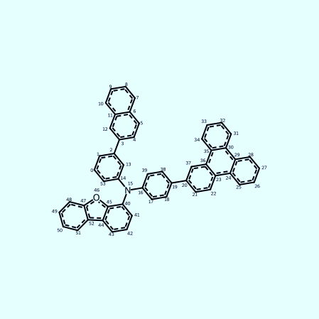 c1cc(-c2ccc3ccccc3c2)cc(N(c2ccc(-c3ccc4c5ccccc5c5ccccc5c4c3)cc2)c2cccc3c2oc2ccccc23)c1